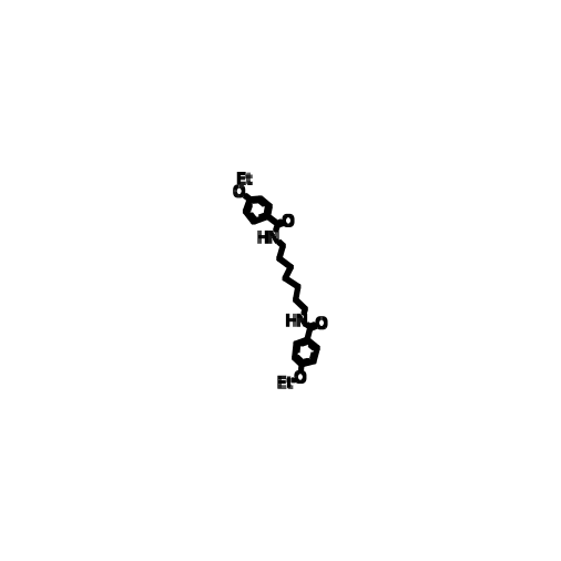 CCOc1ccc(C(=O)NCCCCCCCNC(=O)c2ccc(OCC)cc2)cc1